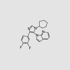 Fc1ccc(-c2ncn(C3CCCCC3)c2-n2ccc3cccnc32)cc1F